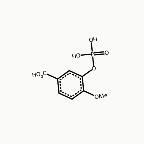 COc1ccc(C(=O)O)cc1OP(=O)(O)O